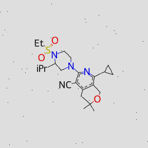 CCS(=O)(=O)N1CCN(c2nc(C3CC3)c3c(c2C#N)CC(C)(C)OC3)CC1C(C)C